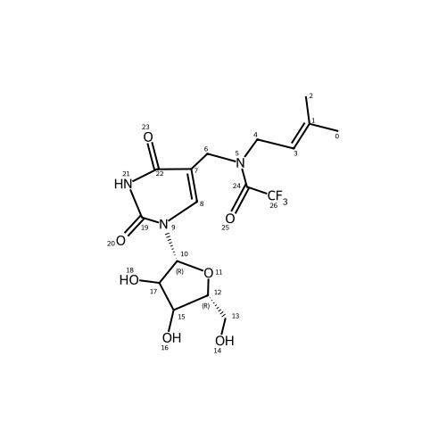 CC(C)=CCN(Cc1cn([C@@H]2O[C@H](CO)C(O)C2O)c(=O)[nH]c1=O)C(=O)C(F)(F)F